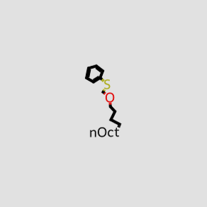 CCCCCCCCCCCCOCSc1ccccc1